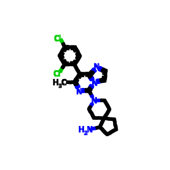 Cc1nc(N2CCC3(CCCC3N)CC2)n2ccnc2c1-c1ccc(Cl)cc1Cl